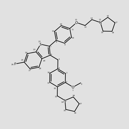 COc1cc(Cc2c(-c3ccc(OCCN4CCCC4)cc3)sc3cc(F)ccc23)ccc1CN1CCCC1